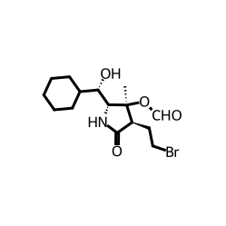 C[C@@]1(OC=O)[C@@H]([C@@H](O)C2CCCCC2)NC(=O)[C@@H]1CCBr